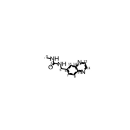 [CH2]NC(=O)NCc1ccc2nccnc2c1